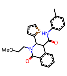 COCCN1C(=O)c2ccccc2C(C(=O)Nc2cccc(C)c2)C1c1cccs1